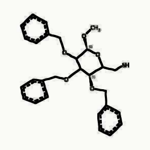 CO[C@H]1OC(CS)[C@@H](OCc2ccccc2)C(OCc2ccccc2)C1OCc1ccccc1